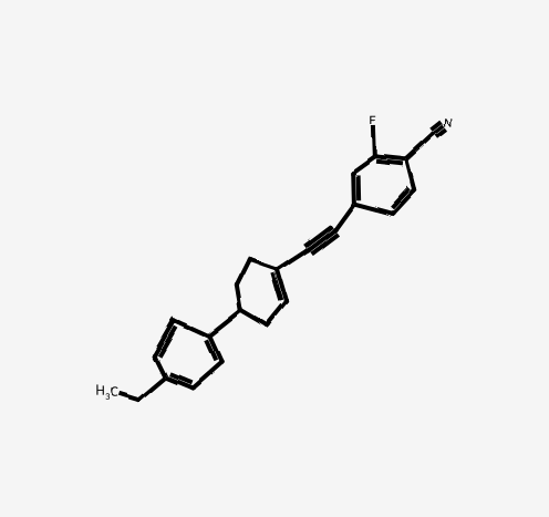 CCc1ccc(C2CC=C(C#Cc3ccc(C#N)c(F)c3)CC2)cc1